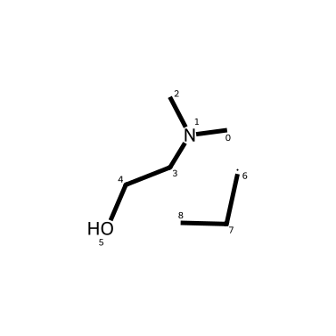 CN(C)CCO.[CH2]CC